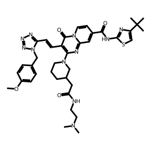 COc1ccc(Cn2nnnc2C=Cc2c(N3CCCC(CC(=O)NCCN(C)C)C3)nc3cc(C(=O)Nc4nc(C(C)(C)C)cs4)ccn3c2=O)cc1